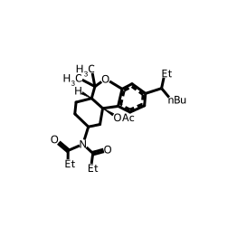 CCCCC(CC)c1ccc2c(c1)OC(C)(C)[C@H]1CCC(N(C(=O)CC)C(=O)CC)C[C@@]21OC(C)=O